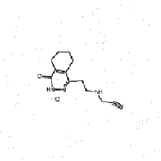 C#CCNCCc1n[nH]c(=O)c2c1CCCC2.Cl